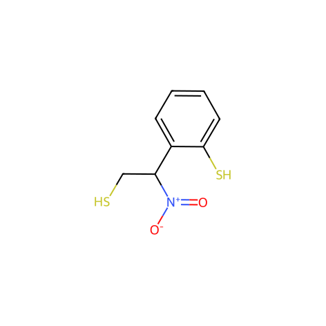 O=[N+]([O-])C(CS)c1ccccc1S